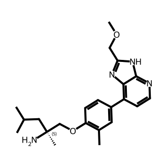 COCc1nc2c(-c3ccc(OC[C@@](C)(N)CC(C)C)c(C)c3)ccnc2[nH]1